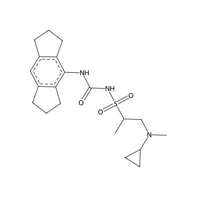 CC(CN(C)C1CC1)S(=O)(=O)NC(=O)Nc1c2c(cc3c1CCC3)CCC2